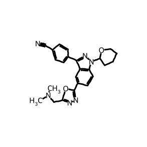 CN(C)Cc1nnc(-c2ccc3c(c2)c(-c2ccc(C#N)cc2)nn3C2CCCCO2)o1